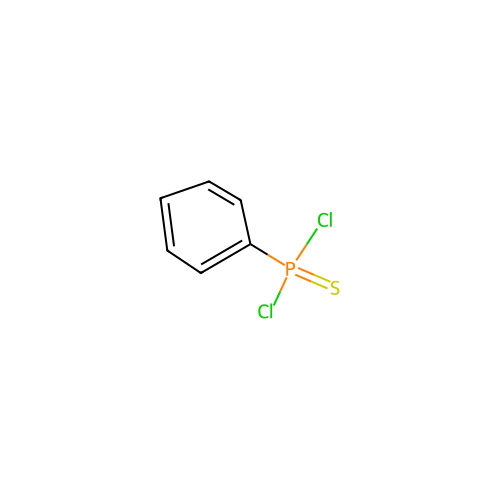 S=P(Cl)(Cl)c1ccccc1